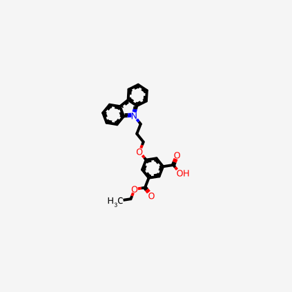 CCOC(=O)c1cc(OCCCn2c3ccccc3c3ccccc32)cc(C(=O)O)c1